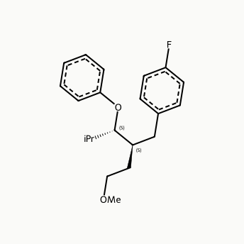 COCC[C@H](Cc1ccc(F)cc1)[C@@H](Oc1ccccc1)C(C)C